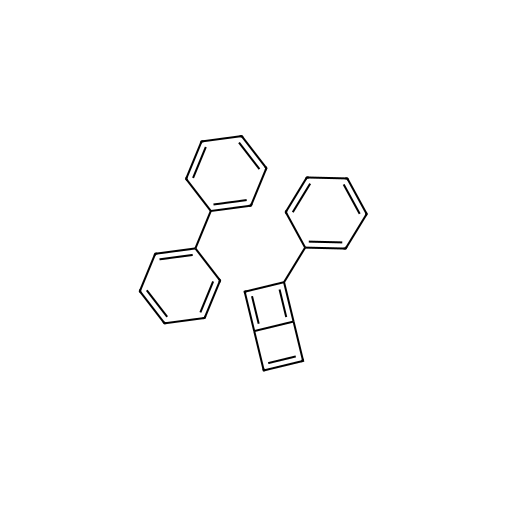 c1ccc(-c2cc3ccc2-3)cc1.c1ccc(-c2ccccc2)cc1